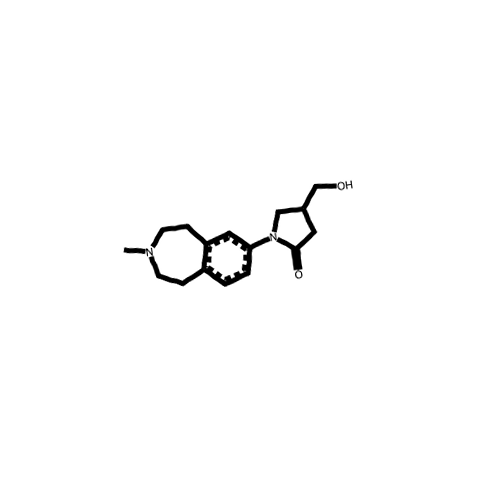 CN1CCc2ccc(N3CC(CO)CC3=O)cc2CC1